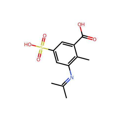 CC(C)=Nc1cc(S(=O)(=O)O)cc(C(=O)O)c1C